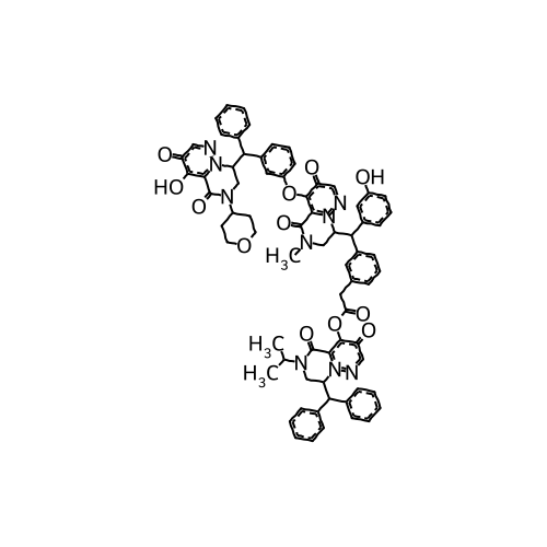 CC(C)N1CC(C(c2ccccc2)c2ccccc2)n2ncc(=O)c(OC(=O)Cc3cccc(C(c4cccc(O)c4)C4CN(C)C(=O)c5c(Oc6cccc(C(c7ccccc7)C7CN(C8CCOCC8)C(=O)c8c(O)c(=O)cnn87)c6)c(=O)cnn54)c3)c2C1=O